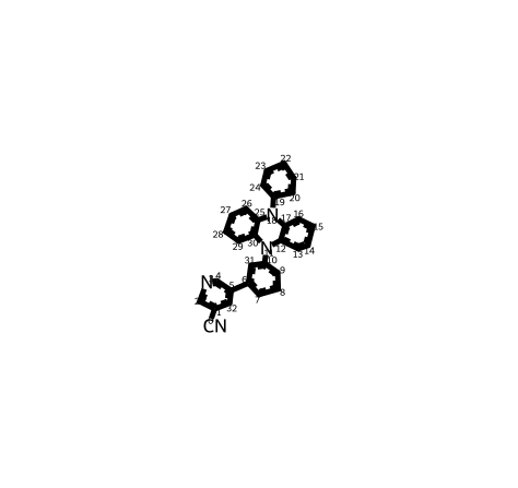 N#Cc1cncc(-c2cccc(N3c4ccccc4N(c4ccccc4)c4ccccc43)c2)c1